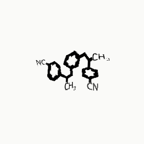 CC(Cc1cccc(CC(C)c2ccc(C#N)cc2)c1)c1ccc(C#N)cc1